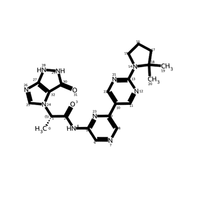 C[C@@H](C(=O)Nc1cncc(-c2cnc(N3CCCC3(C)C)nc2)n1)n1cnc2[nH][nH]c(=O)c21